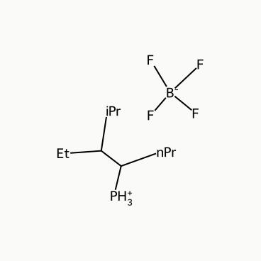 CCCC([PH3+])C(CC)C(C)C.F[B-](F)(F)F